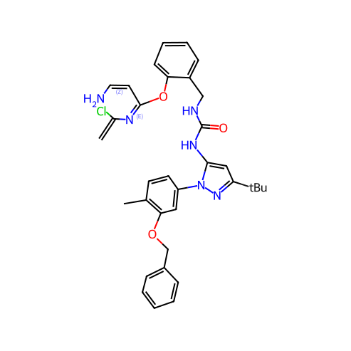 C=C(Cl)/N=C(\C=C/N)Oc1ccccc1CNC(=O)Nc1cc(C(C)(C)C)nn1-c1ccc(C)c(OCc2ccccc2)c1